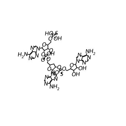 COC1C(COP(O)(O)=S)OC(n2cnc3c(N)ncnc32)C1OP(=O)(O)OCC1CC(OP(O)(=S)OCC2OC(n3cnc4c(N)ncnc43)C(O)C2O)C(n2cnc3c(N)ncnc32)O1